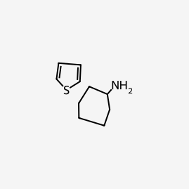 NC1CCCCC1.c1ccsc1